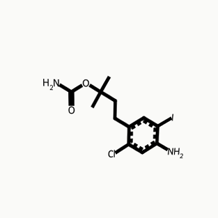 CC(C)(CCc1cc(I)c(N)cc1Cl)OC(N)=O